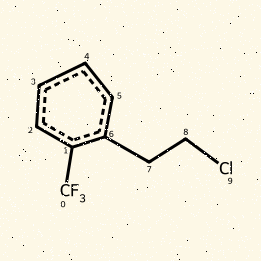 FC(F)(F)c1ccccc1CCCl